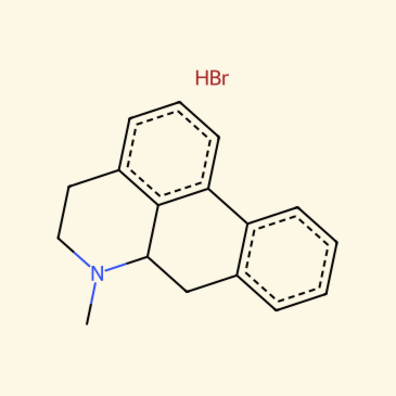 Br.CN1CCc2cccc3c2C1Cc1ccccc1-3